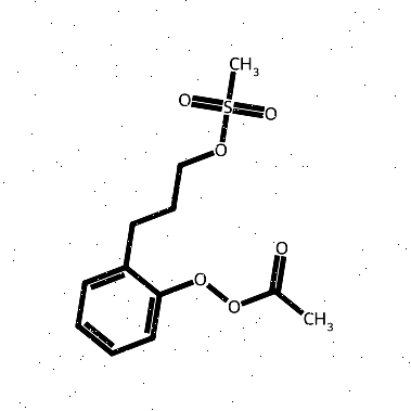 CC(=O)OOc1ccccc1CCCOS(C)(=O)=O